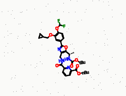 CCCCOC(=O)c1cccc(C(=O)NCc2nc(-c3ccc(OC(F)F)c(OCC4CC4)c3)oc2[C@H](C)NC(=O)OC(C)(C)C)n1